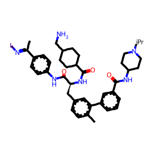 C/C(=N\I)c1ccc(NC(=O)[C@H](Cc2ccc(C)c(-c3cccc(C(=O)NC4CCN(C(C)C)CC4)c3)c2)NC(=O)C2CCC(CN)CC2)cc1